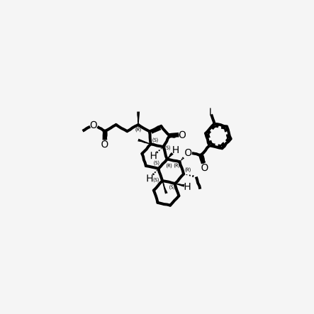 CC[C@H]1[C@@H](OC(=O)c2cccc(I)c2)[C@@H]2[C@H](CC[C@]3(C)C([C@H](C)CCC(=O)OC)=CC(=O)[C@@H]23)[C@@]2(C)CCCC[C@@H]12